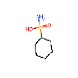 NP(=O)(O)C1CCCCC1